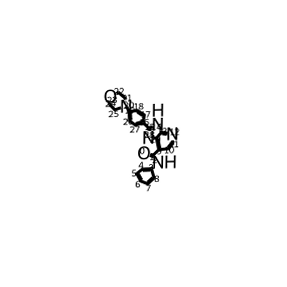 O=C(Nc1ccccc1)c1ccnc2[nH]c(-c3ccc(N4CCOCC4)cc3)nc12